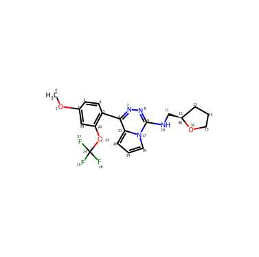 COc1ccc(-c2nnc(NC[C@H]3CCCO3)n3cccc23)c(OC(F)(F)F)c1